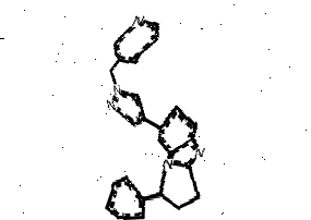 c1ccc(C2CCc3nc4ccc(-c5cnn(Cc6cccnc6)c5)cc4n32)cc1